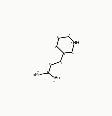 CCCC(CCC1CCCNC1)C(C)CC